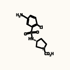 Nc1ccc(Cl)c(S(=O)(=O)N[C@@H]2CCN(C(=O)O)C2)c1